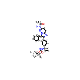 CC(=O)Nc1ccc2nc(-c3ccc(C4(NC(=O)OC(C)(C)C)CCC4)cc3)c(-c3ccccc3)n2n1